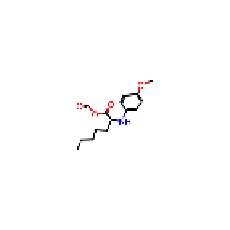 CCCCCC(Nc1ccc(OC)cc1)C(=O)OC=O